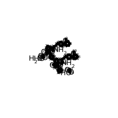 COc1ccccc1N1CCN(CCCN(C(N)=O)c2cccc3c(=O)c(C)c(-c4ccccc4)oc23)CC1.COc1ccccc1N1CCN(CCCN(C(N)=O)c2cccc3c(=O)c(C)c(-c4ccccc4)oc23)CC1.CS(=O)(=O)O.CS(=O)(=O)O.O